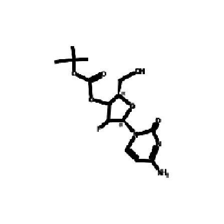 CC(C)(C)OC(=O)OC1C(F)[C@H](n2ccc(N)nc2=O)O[C@@H]1CO